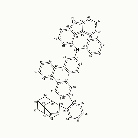 c1ccc(N(c2cccc(-c3ccccc3-c3ccc4c(c3)C3(c5ccccc5-4)C4CC5CC(C4)CC3C5)c2)c2cccc3oc4ccccc4c23)cc1